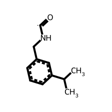 CC(C)c1cccc(CN[C]=O)c1